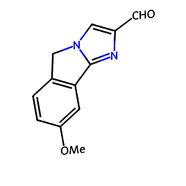 COc1ccc2c(c1)-c1nc(C=O)cn1C2